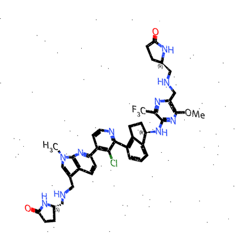 COc1nc(N[C@@H]2CCc3c(-c4nccc(-c5ccc6c(CNC[C@@H]7CCC(=O)N7)cn(C)c6n5)c4Cl)cccc32)c(C(F)(F)F)nc1CNC[C@H]1CCC(=O)N1